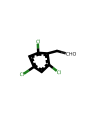 O=CCc1c(Cl)cc(Cl)cc1Cl